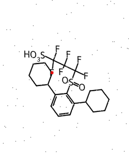 O=S(=O)(O)C(F)(F)C(F)(F)C(F)(F)S(=O)(=O)c1c(C2CCCCC2)cccc1C1CCCCC1